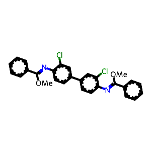 CO/C(=N\c1ccc(-c2ccc(/N=C(\OC)c3ccccc3)c(Cl)c2)cc1Cl)c1ccccc1